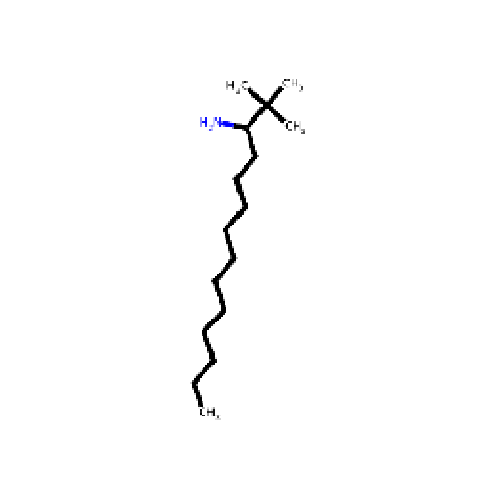 CCCCCCCCCCCC(N)C(C)(C)C